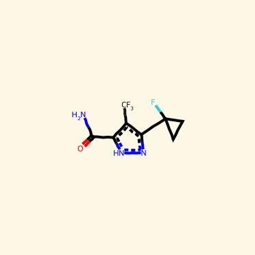 NC(=O)c1[nH]nc(C2(F)CC2)c1C(F)(F)F